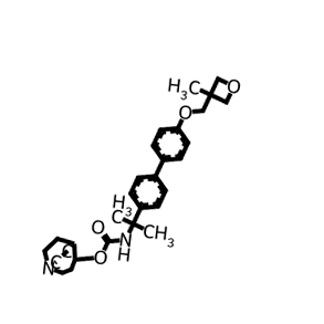 CC1(COc2ccc(-c3ccc(C(C)(C)NC(=O)OC4CCN5CCC4CC5)cc3)cc2)COC1